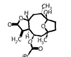 C=C1C(=O)O[C@@H]2C[C@H](C)[C@]3(O)CC[C@](C)(C[C@@H](OC(=O)C(C)C)[C@@H]12)O3